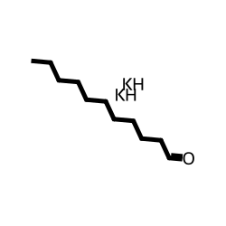 CCCCCCCCCCC=O.[KH].[KH]